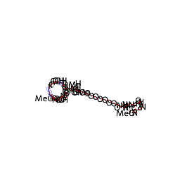 COc1ccc(-c2ccc3ncc4c(c3c2)n(-c2ccc(N3CCN(c5ncc(CNC(=O)CCOCCOCCOCCOCCOCCOCCOCCOCCNC(=O)O[C@@H]6CC[C@@H](C[C@@H](N)[C@@H]7C[C@@H](OC)[C@H](C)/C=C(\C)[C@@H](O)[C@@H](O)C(=O)[C@H](C)C[C@H](C)/C=C/C=C/C=C(\C)[C@@H](OC)C[C@@H]8CC[C@@H](C)[C@@](O)(O8)C(=O)C(=O)N8CCCC[C@H]8C(=O)O7)C[C@H]6OC)cn5)CC3)c(C(F)(F)F)c2)c(=O)n4C)cn1